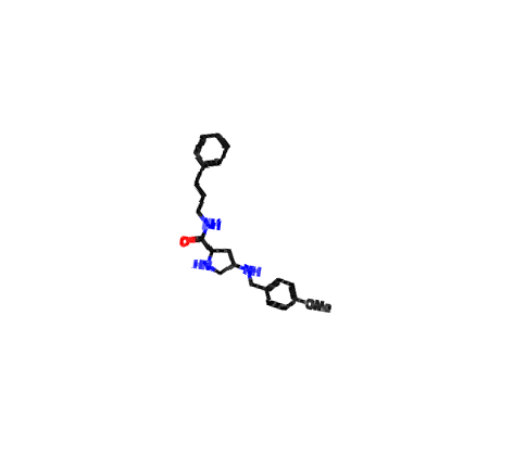 COc1ccc(CNC2CNC(C(=O)NCCCc3ccccc3)C2)cc1